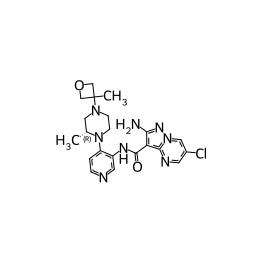 C[C@@H]1CN(C2(C)COC2)CCN1c1ccncc1NC(=O)c1c(N)nn2cc(Cl)cnc12